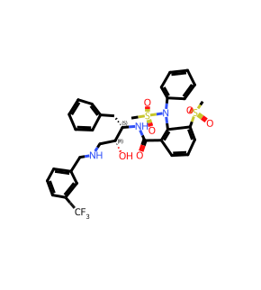 CS(=O)(=O)c1cccc(C(=O)N[C@@H](Cc2ccccc2)[C@H](O)CNCc2cccc(C(F)(F)F)c2)c1N(c1ccccc1)S(C)(=O)=O